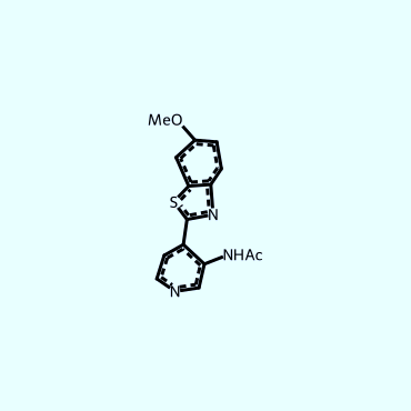 COc1ccc2nc(-c3ccncc3NC(C)=O)sc2c1